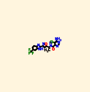 C[C@@H](NC(=O)c1ncnc(N)c1Cl)c1cc(-c2nc3ccc(C(F)(F)F)cc3[nH]2)no1